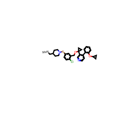 CNCC1CCN(Sc2ccc(Cl)c(COC3(c4cnccc4-c4ccccc4OC4CC4)CC3)c2)CC1